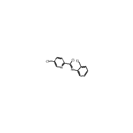 ClC(=Nc1ccccc1Cl)c1ccc(Cl)cn1